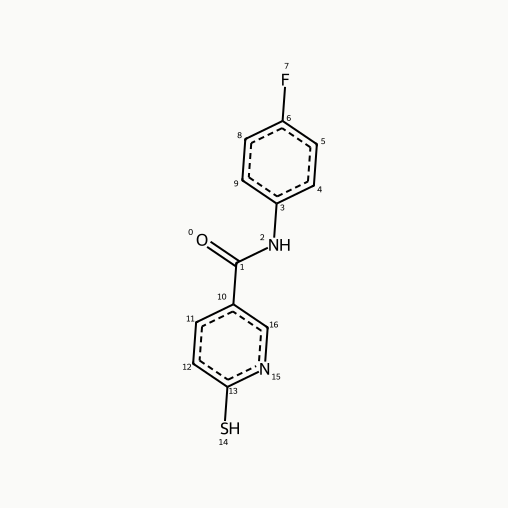 O=C(Nc1ccc(F)cc1)c1ccc(S)nc1